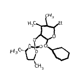 CCC1OC(OC2CCCCC2)C(OP2(=O)O[C@@H](C)C[C@H](C)O2)C(C)C1C